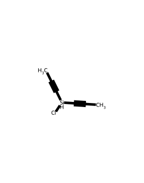 CC#C[SiH](Cl)C#CC